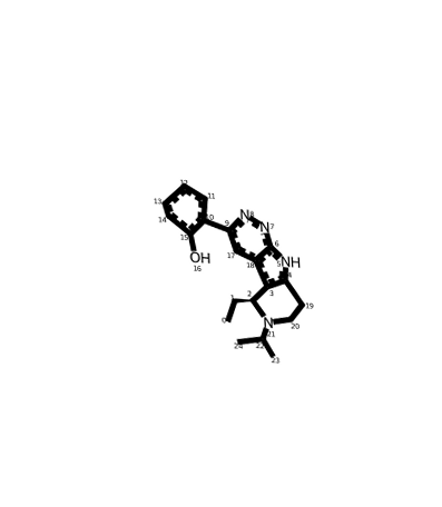 CC[C@H]1c2c([nH]c3nnc(-c4ccccc4O)cc23)CCN1C(C)C